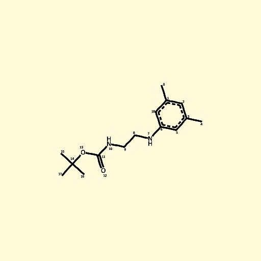 Cc1cc(C)cc(NCCNC(=O)OC(C)(C)C)c1